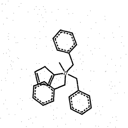 [CH3][Zr]([CH2]c1ccccc1)([CH2]c1ccccc1)([CH2]c1ccccc1)[C]1=CC=CC1